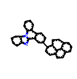 c1cc2ccc3ccc(-c4ccc5c6ccccc6n6c7ccccc7nc6c5c4)c4ccc(c1)c2c34